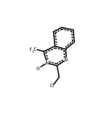 [O-][n+]1c(CCl)nc2ccccc2c1C(F)(F)F